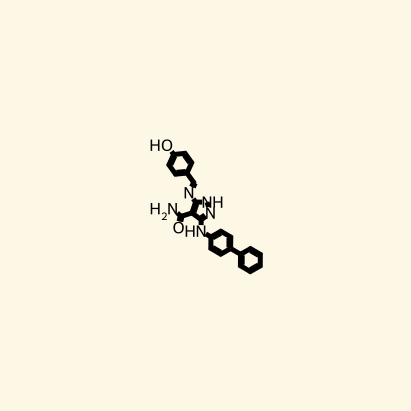 NC(=O)c1c(Nc2ccc(-c3ccccc3)cc2)n[nH]c1N=Cc1ccc(O)cc1